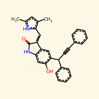 Cc1cc(C)c(/C=C2\C(=O)Nc3cc(O)c(C(C#Cc4ccccc4)c4ccccc4)cc32)[nH]1